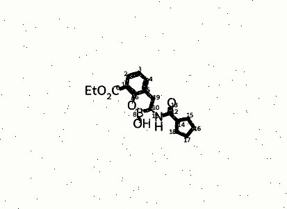 CCOC(=O)c1cccc2c1OB(O)[C@@H](NC(=O)C1CCCC1)C2